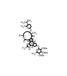 CC[C@H]1CCC[C@H](O[C@H]2CC[C@H](N(C)C)C(C)O2)[C@@H](C)C(=O)C2=C[C@H]3[C@@H]4C[C@H](O[C@@H]5OC(C)[C@H](OC)C(OC)C5OC)C[C@H]4c4[nH]c(C(F)(F)F)nc4[C@H]3[C@@H]2CC(=O)O1